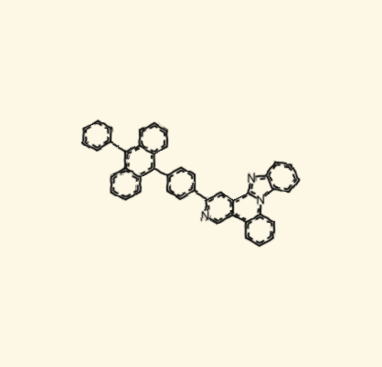 c1ccc(-c2c3ccccc3c(-c3ccc(-c4cc5c(cn4)c4ccccc4n4c6ccccc6nc54)cc3)c3ccccc23)cc1